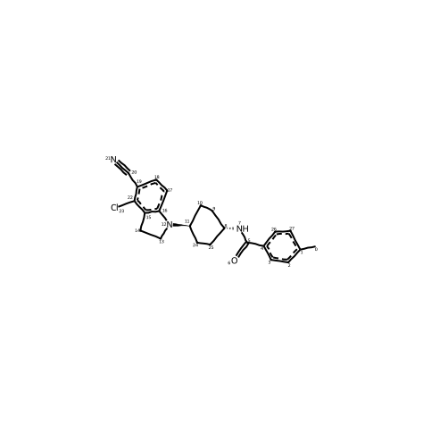 Cc1ccc(C(=O)N[C@H]2CC[C@H](N3CCc4c3ccc(C#N)c4Cl)CC2)cc1